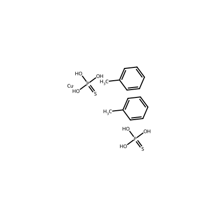 Cc1ccccc1.Cc1ccccc1.OP(O)(O)=S.OP(O)(O)=S.[Cu]